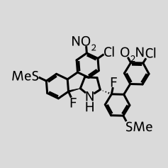 CSC1=CC(c2ccc(Cl)c([N+](=O)[O-])c2)C(F)([C@H]2CC[C@H](C3(F)C=CC(SC)=CC3c3ccc(Cl)c([N+](=O)[O-])c3)N2)C=C1